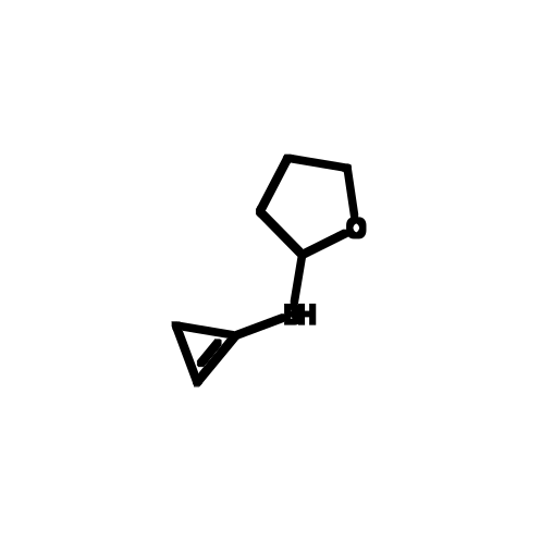 B(C1=CC1)C1CCCO1